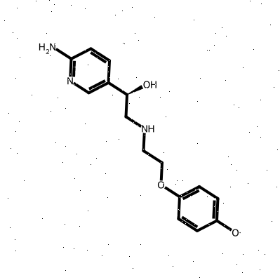 Nc1ccc([C@@H](O)CNCCOc2ccc([O])cc2)cn1